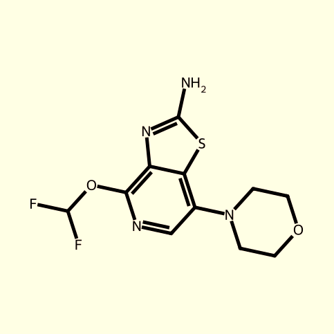 Nc1nc2c(OC(F)F)ncc(N3CCOCC3)c2s1